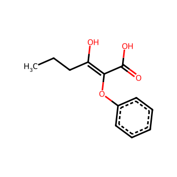 CCC/C(O)=C(\Oc1ccccc1)C(=O)O